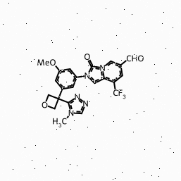 COc1cc(-n2cc3c(C(F)(F)F)cc(C=O)cn3c2=O)cc(C2(c3nncn3C)COC2)c1